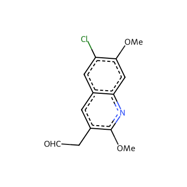 COc1cc2nc(OC)c(CC=O)cc2cc1Cl